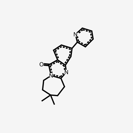 CC1(C)CCc2nc3cc(-c4ccccn4)ccc3c(=O)n2CC1